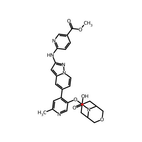 COC(=O)c1ccc(Nc2cc3cc(-c4cc(C)ncc4OC4CC5COCC(C4)N5C(=O)O)ccn3n2)nc1